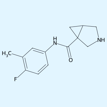 Cc1cc(NC(=O)C23CNCC2C3)ccc1F